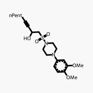 CCCCCC#CC(O)CS(=O)(=O)N1CCN(c2ccc(OC)c(OC)c2)CC1